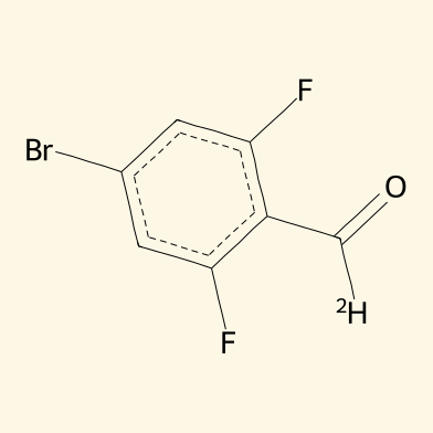 [2H]C(=O)c1c(F)cc(Br)cc1F